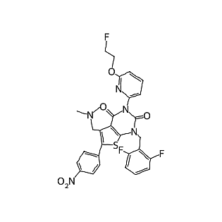 CN(C)Cc1c(-c2ccc([N+](=O)[O-])cc2)sc2c1c(=O)n(-c1cccc(OCCF)n1)c(=O)n2Cc1c(F)cccc1F